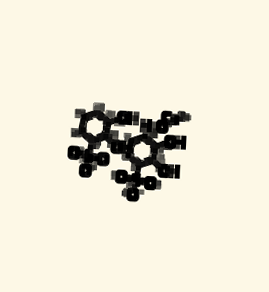 O.O=S(=O)([O-])c1cccc(O)c1O.O=S(=O)([O-])c1cccc(O)c1O.[Ca+2]